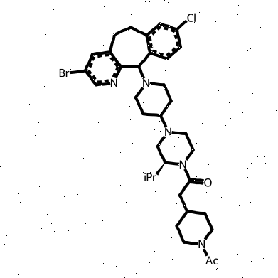 CC(=O)N1CCC(CC(=O)N2CCN(C3CCN(C4c5ccc(Cl)cc5CCc5cc(Br)cnc54)CC3)C[C@@H]2C(C)C)CC1